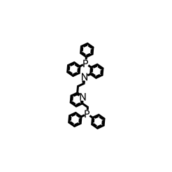 C(Cc1cccc(CP(c2ccccc2)c2ccccc2)n1)=Nc1ccccc1P(c1ccccc1)c1ccccc1